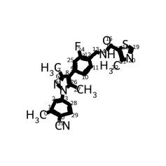 Cc1cc(-n2nc(C)c(-c3ccc(CNC(=O)c4scnc4C)c(F)c3)c2C)ccc1C#N